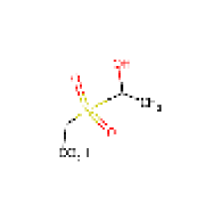 CC(O)S(=O)(=O)CC(=O)O